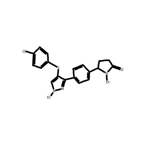 CCN1C(=O)CCC1c1ccc(-c2nn(CC)cc2Sc2ccc(Cl)cc2)cc1